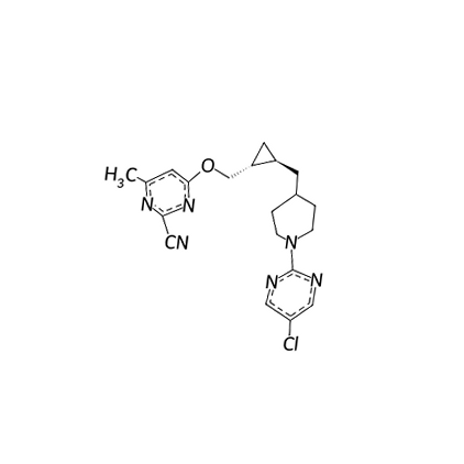 Cc1cc(OC[C@@H]2C[C@H]2CC2CCN(c3ncc(Cl)cn3)CC2)nc(C#N)n1